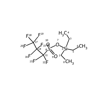 CC[Si](CC)(CC)OS(=O)(=O)C(F)(F)C(F)(F)C(F)(F)F